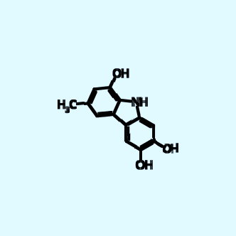 Cc1cc(O)c2[nH]c3cc(O)c(O)cc3c2c1